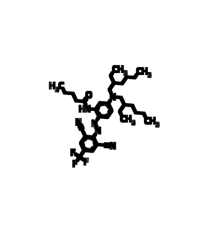 CCCCC(=O)Nc1cc(N(CC(CC)CCCC)CC(CC)CCCC)ccc1N=Nc1c(C#N)cc(C(F)(F)F)cc1C#N